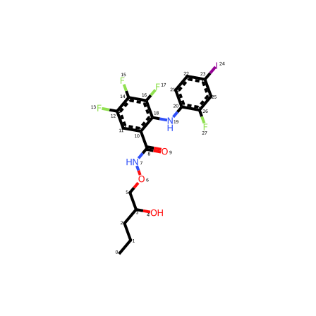 CCCC(O)CONC(=O)c1cc(F)c(F)c(F)c1Nc1ccc(I)cc1F